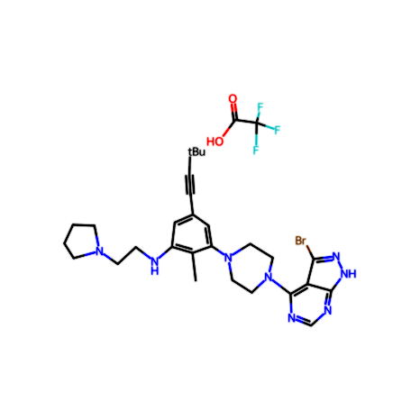 Cc1c(NCCN2CCCC2)cc(C#CC(C)(C)C)cc1N1CCN(c2ncnc3[nH]nc(Br)c23)CC1.O=C(O)C(F)(F)F